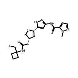 Cn1nccc1C(=O)Nc1cc([C@@H]2C[C@H](OC(=O)NC3(CF)CCC3)CO2)[nH]n1